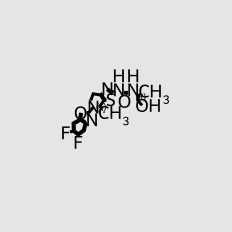 C[C@H](CO)NC(=O)Nc1nc2c(s1)[C@H](C)N(c1nc3cc(F)c(F)cc3o1)CC2